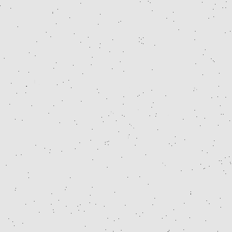 CC(c1ccncc1F)C1(C(C)c2ccncc2F)NC(=O)N(c2ccc(SC(F)(F)F)cc2)C1=O